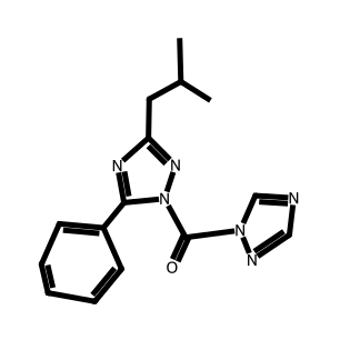 CC(C)Cc1nc(-c2ccccc2)n(C(=O)n2cncn2)n1